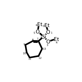 CCO[Si](OCC)(OCC)C1=CCCCCC1